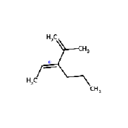 C=C(C)/C(=C/C)CCC